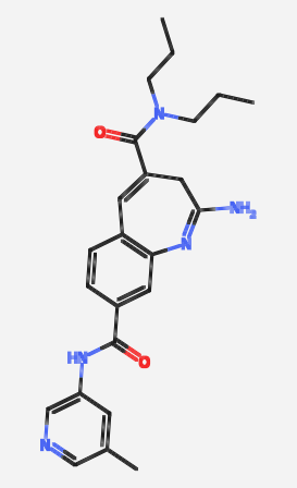 CCCN(CCC)C(=O)C1=Cc2ccc(C(=O)Nc3cncc(C)c3)cc2N=C(N)C1